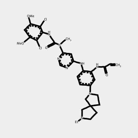 C=CC(=O)Nc1cc(N2CCC3(CCN(CC)C3)C2)ccc1Nc1cc(N(C)C(=O)Nc2c(Cl)c(OC)cc(OC)c2Cl)ncn1